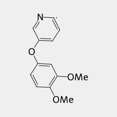 COc1ccc(Oc2cc[c]nc2)cc1OC